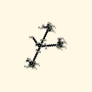 CC(=O)N[C@H]1[C@H](OCCCCCCCCCNC(=O)CCOC2[C@H](OCCC(=O)NCCCCCCCCCO[C@@H]3O[C@H](COC(C)=O)[C@H](OC(C)=O)[C@H](OC(C)=O)[C@H]3NC(C)=O)CC(C(=O)NCCCCCCO)C[C@H]2OCCC(=O)NCCCCCCCCCO[C@@H]2O[C@H](COC(C)=O)[C@H](OC(C)=O)[C@H](OC(C)=O)[C@H]2NC(C)=O)O[C@H](COC(C)=O)[C@H](OC(C)=O)[C@@H]1OC(C)=O